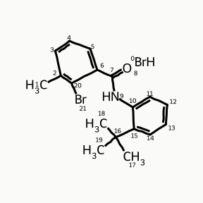 Br.Cc1cccc(C(=O)Nc2ccccc2C(C)(C)C)c1Br